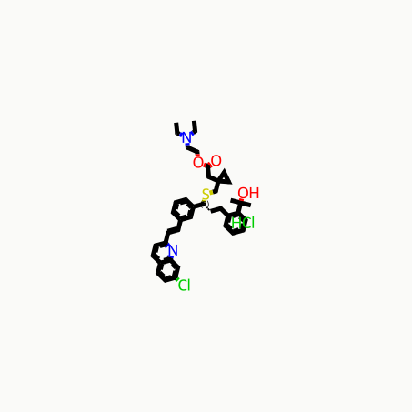 CCN(CC)CCOC(=O)CC1(CS[C@H](CCc2ccccc2C(C)(C)O)c2cccc(C=Cc3ccc4ccc(Cl)cc4n3)c2)CC1.Cl